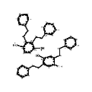 Oc1cc(CCc2ccccc2)c(O)cc1CCc1ccccc1.Oc1ccc(O)c(CCc2ccccc2)c1CCc1ccccc1